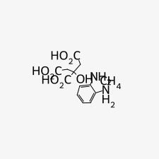 C.Nc1ccccc1N.O=C(O)CC(O)(CC(=O)O)C(=O)O